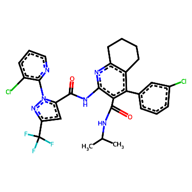 CC(C)NC(=O)c1c(NC(=O)c2cc(C(F)(F)F)nn2-c2ncccc2Cl)nc2c(c1-c1cccc(Cl)c1)CCCC2